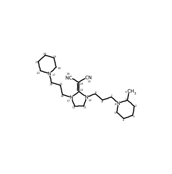 CC1CCCCN1CCCN1CCN(CCCN2CCCCC2)C1=C(C#N)C#N